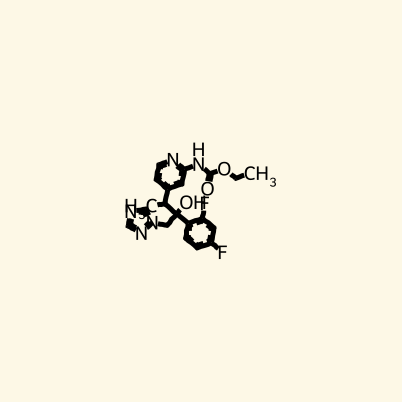 CCOC(=O)Nc1cc(C(C)C(O)(Cn2cncn2)c2ccc(F)cc2F)ccn1